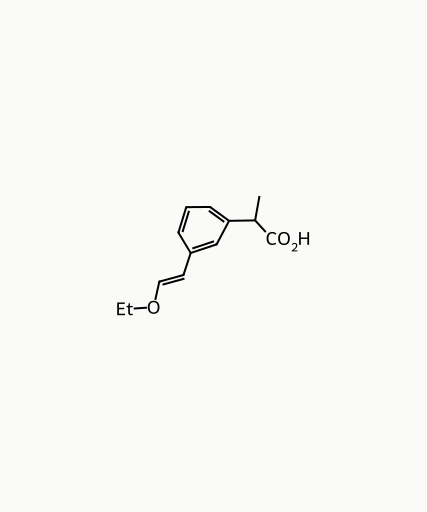 CCOC=Cc1cccc(C(C)C(=O)O)c1